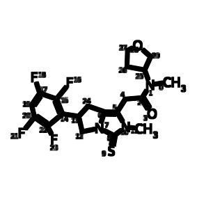 CN(C(=O)Cc1c2n(c(=S)n1C)CC(c1c(F)c(F)cc(F)c1F)C2)C1CCOC1